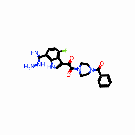 N=C(NN)c1ccc(F)c2c(C(=O)C(=O)N3CCN(C(=O)c4ccccc4)CC3)c[nH]c12